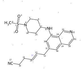 CS(=O)(=O)N1CCC(Nc2cc(C/C=C/CCC#N)cc3ccncc23)CC1